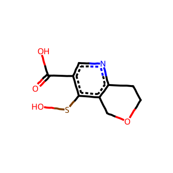 O=C(O)c1cnc2c(c1SO)COCC2